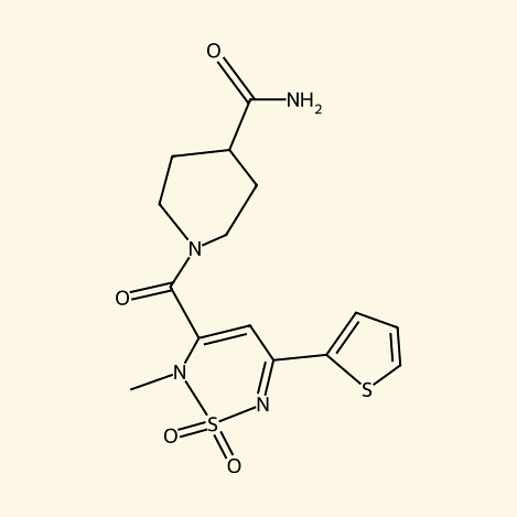 CN1C(C(=O)N2CCC(C(N)=O)CC2)=CC(c2cccs2)=NS1(=O)=O